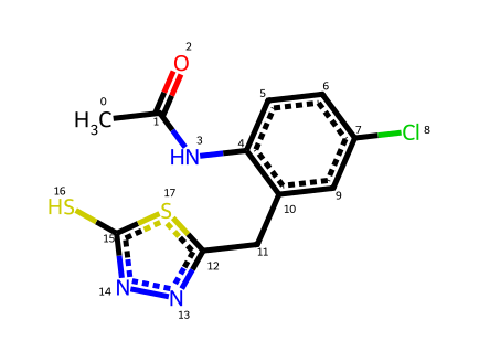 CC(=O)Nc1ccc(Cl)cc1Cc1nnc(S)s1